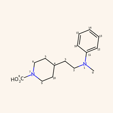 CN(CCC1CCN(C(=O)O)CC1)c1ccccc1